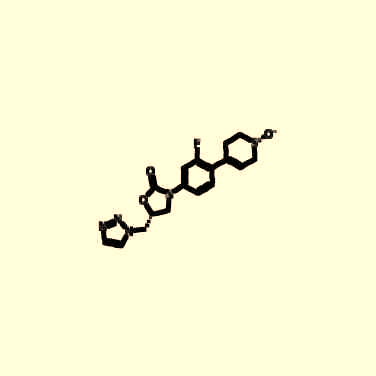 O=C1O[C@@H](Cn2ccnn2)CN1c1ccc(C2=CC[S@+]([O-])CC2)c(F)c1